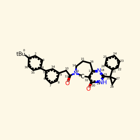 CC(C)(C)c1ccc(-c2cccc(CC(=O)N3CCCc4nc(C5(c6ccccc6)CC5)[nH]c(=O)c4C3)c2)cc1